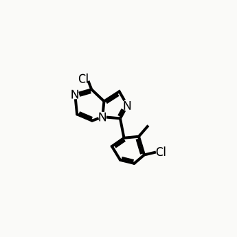 Cc1c(Cl)cccc1-c1ncc2c(Cl)nccn12